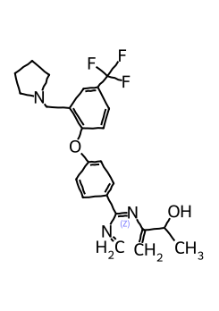 C=N/C(=N\C(=C)C(C)O)c1ccc(Oc2ccc(C(F)(F)F)cc2CN2CCCC2)cc1